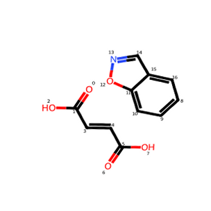 O=C(O)C=CC(=O)O.c1ccc2oncc2c1